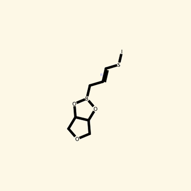 IS/C=C/CB1OC2COCC2O1